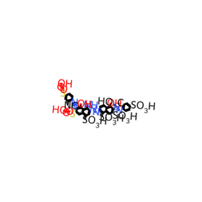 Nc1c(N=Nc2ccc3c(O)c(N=Nc4ccc(S(=O)(=O)O)cc4C(=O)O)c(S(=O)(=O)O)cc3c2S(=O)(=O)O)cc(S(=O)(=O)O)c2cc(SOOO)c(N=Nc3ccc(SOOO)cc3[N+](=O)[O-])c(O)c12